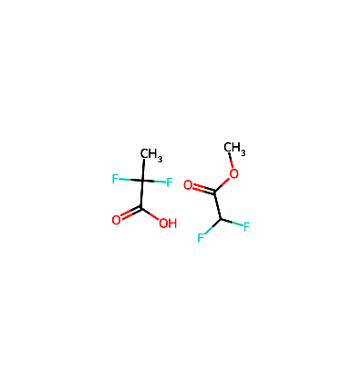 CC(F)(F)C(=O)O.COC(=O)C(F)F